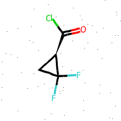 O=C(Cl)[C@@H]1CC1(F)F